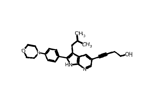 CC(C)Cc1c(-c2ccc(N3CCOCC3)cc2)[nH]c2ncc(C#CCCO)cc12